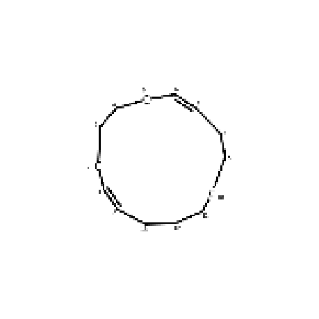 [C]1=CCCCCC=CCCCCCC1